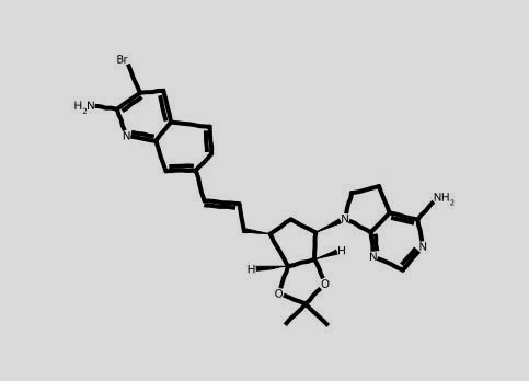 CC1(C)O[C@@H]2[C@@H](C/C=C/c3ccc4cc(Br)c(N)nc4c3)C[C@@H](N3CCc4c(N)ncnc43)[C@@H]2O1